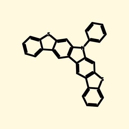 c1ccc(-n2c3cc4sc5ccccc5c4cc3c3cc4c(cc32)sc2ccccc24)cc1